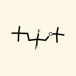 CC(C)(C)CCC(F)(F)COC(C)(C)C